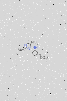 CSc1ncc([N+](=O)[O-])c(Nc2cccc(CC(=O)O)c2)n1